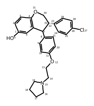 Oc1ccc2c(c1)C(c1ccc(OCCN3CCCC3)cc1)[C@@H](c1ccc(Cl)cc1)CO2